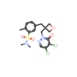 Cc1ccc(CC2(Cn3ncc(Cl)c(Cl)c3=O)COC2)cc1S(=O)(=O)N(C)C